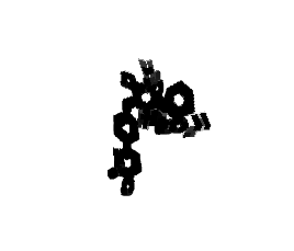 Cn1nc(-c2ccc(CC(NC(=O)C3(NC(=O)O)CCCCC3)C(N)=O)cc2)ccc1=O